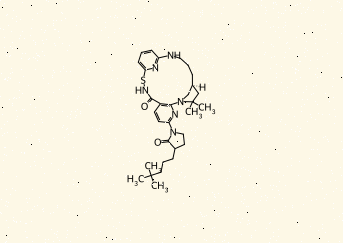 CC(C)(C)CCCC1CCN(c2ccc3c(n2)N2C[C@@H](CCCNc4cccc(n4)SNC3=O)CC2(C)C)C1=O